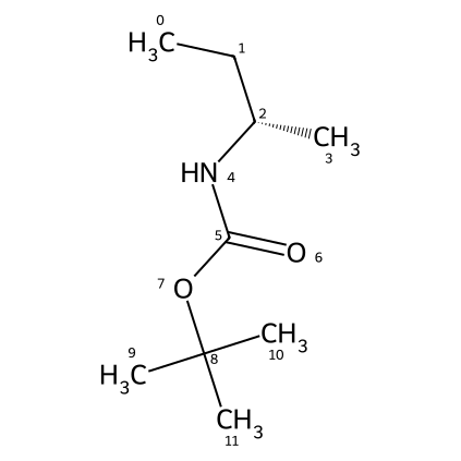 CC[C@H](C)NC(=O)OC(C)(C)C